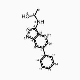 CC(O)Nc1snc2cc(-c3ccccc3)cnc12